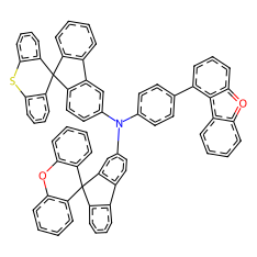 c1ccc2c(c1)Oc1ccccc1C21c2ccccc2-c2ccc(N(c3ccc(-c4cccc5oc6ccccc6c45)cc3)c3ccc4c(c3)-c3ccccc3C43c4ccccc4Sc4ccccc43)cc21